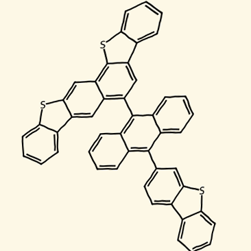 c1ccc2c(c1)sc1cc(-c3c4ccccc4c(-c4cc5c6ccccc6sc5c5cc6sc7ccccc7c6cc45)c4ccccc34)ccc12